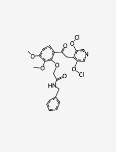 COc1ccc(C(=O)Cc2c(OCl)cncc2OCl)c(OCC(=O)NCc2ccccc2)c1OC